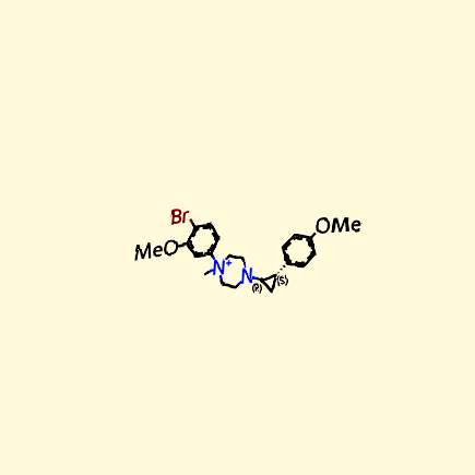 COc1ccc([C@@H]2C[C@H]2N2CC[N+](C)(c3ccc(Br)c(OC)c3)CC2)cc1